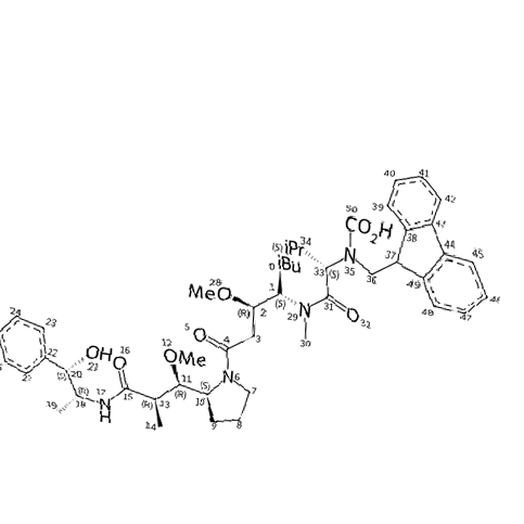 CC[C@H](C)[C@@H]([C@@H](CC(=O)N1CCC[C@H]1[C@H](OC)[C@@H](C)C(=O)N[C@H](C)[C@@H](O)c1ccccc1)OC)N(C)C(=O)[C@H](C(C)C)N(CC1c2ccccc2-c2ccccc21)C(=O)O